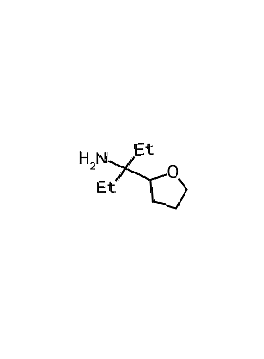 CCC(N)(CC)C1CCCO1